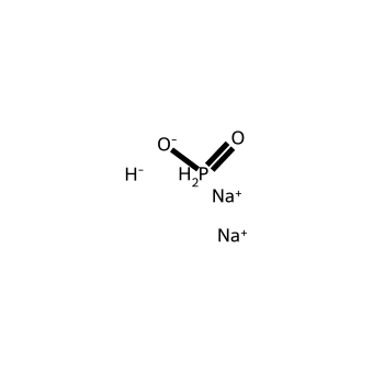 O=[PH2][O-].[H-].[Na+].[Na+]